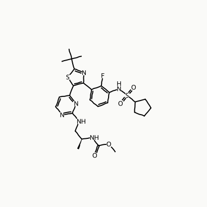 COC(=O)N[C@@H](C)CNc1nccc(-c2sc(C(C)(C)C)nc2-c2cccc(NS(=O)(=O)C3CCCC3)c2F)n1